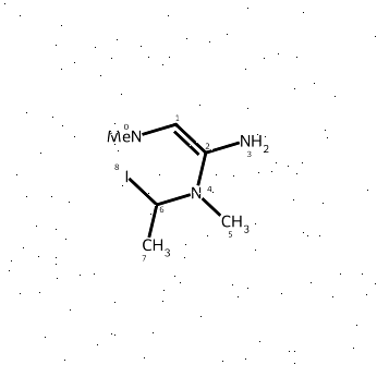 CN/C=C(/N)N(C)C(C)I